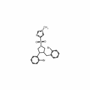 Cn1cnc(S(=O)(=O)N2CC(Cc3ccccc3Br)C(c3ccccc3Br)C2)c1